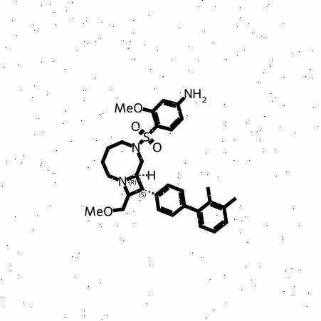 COCC1[C@@H](c2ccc(-c3cccc(C)c3C)cc2)[C@@H]2CN(S(=O)(=O)c3ccc(N)cc3OC)CCCCN12